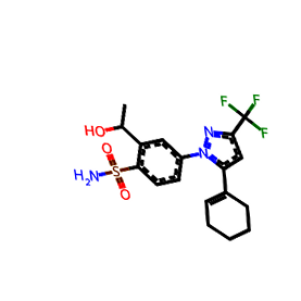 CC(O)c1cc(-n2nc(C(F)(F)F)cc2C2=CCCCC2)ccc1S(N)(=O)=O